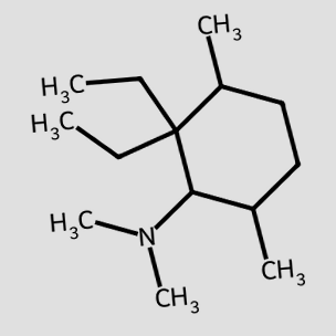 CCC1(CC)C(C)CCC(C)C1N(C)C